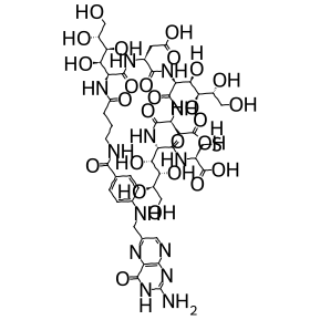 Nc1nc2ncc(CNc3ccc(C(=O)NCCCC(=O)N[C@H](C(=O)N[C@@H](CC(=O)O)C(=O)N[C@H](C(=O)N[C@@H](CC(=O)O)C(=O)N[C@H](C(=O)N[C@@H](CS)C(=O)O)[C@@H](O)[C@H](O)[C@H](O)CO)[C@@H](O)[C@H](O)[C@H](O)CO)[C@@H](O)[C@H](O)[C@H](O)CO)cc3)nc2c(=O)[nH]1